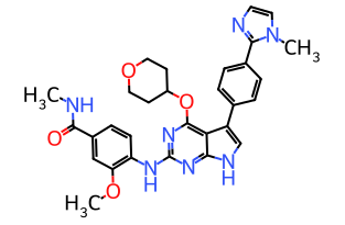 CNC(=O)c1ccc(Nc2nc(OC3CCOCC3)c3c(-c4ccc(-c5nccn5C)cc4)c[nH]c3n2)c(OC)c1